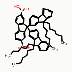 CCCCCCC1(CCCCCC)c2ccccc2-c2ccc(C3(c4ccc5c(c4)C(CCCCCC)(CCCCCC)c4ccccc4-5)c4cc(B(O)O)ccc4-c4ccc(B(O)O)cc43)cc21